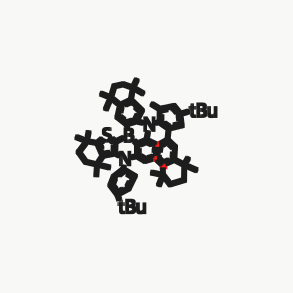 Cc1cc2c3c(c1)N(c1c(C)cc(C(C)(C)C)cc1-c1ccc4c(c1)C(C)(C)CCC4(C)C)c1cc4c(cc1B3c1sc3c(c1N2c1ccc(C(C)(C)C)cc1)C(C)(C)CCC3(C)C)C(C)(C)CCC4(C)C